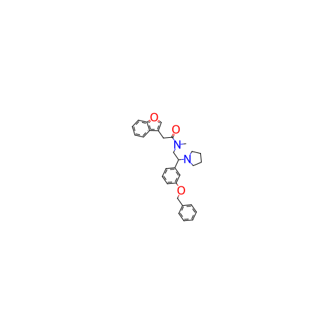 CN(CC(c1cccc(OCc2ccccc2)c1)N1CCCC1)C(=O)Cc1coc2ccccc12